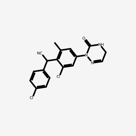 Cc1cc(N2N=CCNC2=O)cc(Cl)c1C(C#N)c1ccc(Cl)cc1